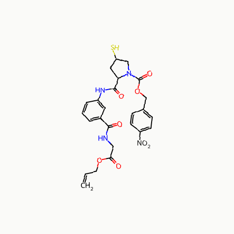 C=CCOC(=O)CNC(=O)c1cccc(NC(=O)C2CC(S)CN2C(=O)OCc2ccc([N+](=O)[O-])cc2)c1